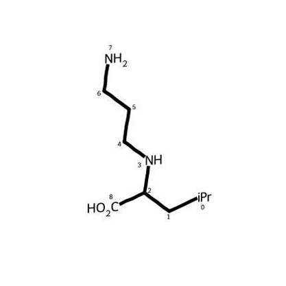 CC(C)CC(NCCCN)C(=O)O